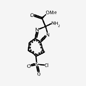 COC(=O)C1(N)N=c2ccc(S(=O)(=O)Cl)cc2=N1